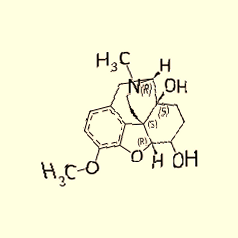 COc1ccc2c3c1O[C@H]1C(O)CC[C@@]4(O)[C@@H](C2)N(C)CC[C@]314